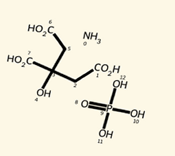 N.O=C(O)CC(O)(CC(=O)O)C(=O)O.O=P(O)(O)O